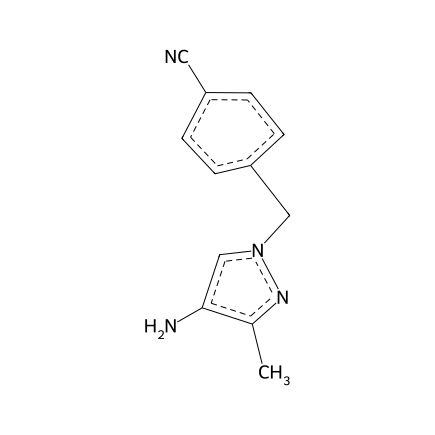 Cc1nn(Cc2ccc(C#N)cc2)cc1N